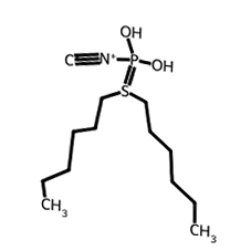 [C-]#[N+]P(O)(O)=S(CCCCCC)CCCCCC